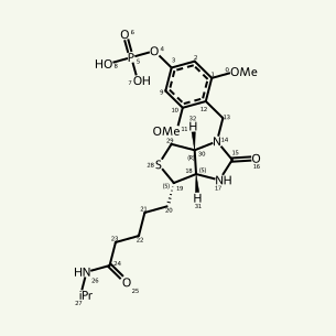 COc1cc(OP(=O)(O)O)cc(OC)c1CN1C(=O)N[C@@H]2[C@H](CCCCC(=O)NC(C)C)SC[C@@H]21